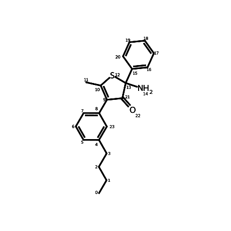 CCCCc1cccc(C2=C(C)SC(N)(c3ccccc3)C2=O)c1